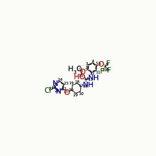 COc1ccc(OC(F)(F)F)cc1NC(O)N[C@H]1CC[C@H](Oc2ccnc(Cl)n2)CC1